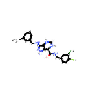 O=C(O)c1cccc(CNc2n[nH]c3c(C(=O)NCc4ccc(F)c(Cl)c4)ncnc23)c1